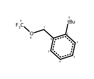 CC(C)(C)c1ccccc1COC(F)(F)F